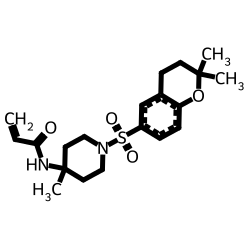 C=CC(=O)NC1(C)CCN(S(=O)(=O)c2ccc3c(c2)CCC(C)(C)O3)CC1